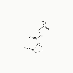 CN1CCC[C@H]1C(=O)NCC(N)=O